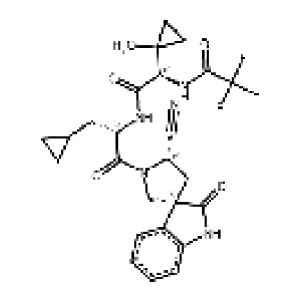 CC1([C@@H](NC(=O)C(F)(F)F)C(=O)N[C@@H](CC2CC2)C(=O)N2C[C@]3(C[C@H]2C#N)C(=O)Nc2ccccc23)CC1